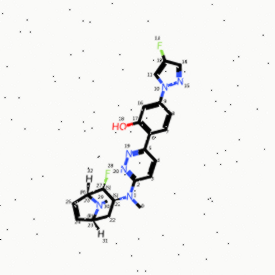 CN(c1ccc(-c2ccc(-n3cc(F)cn3)cc2O)nn1)[C@H]1C[C@@H]2C=C[C@H]([C@H]1F)N2C